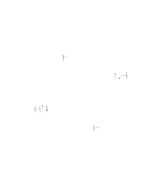 C[C@@H]1NC[C@H]2CNC[C@H]21